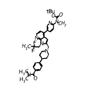 CN(C)C(=O)c1ccc(C2CCN(Cc3cc4c(-c5ccc(N(C)C(=O)OC(C)(C)C)nc5)ccnc4n3CC(C)(F)F)CC2)cc1